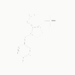 O=[N+]([O-])N=C1N(Cc2ccc(Cl)nc2)CCN1OP(O)(O)=S